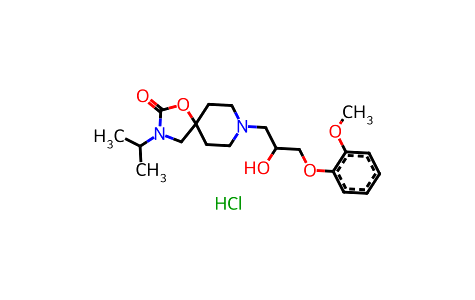 COc1ccccc1OCC(O)CN1CCC2(CC1)CN(C(C)C)C(=O)O2.Cl